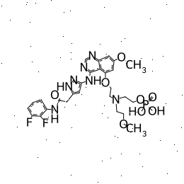 COCCN(CCOc1cc(OC)cc2ncnc(Nc3cc(CC(=O)Nc4cccc(F)c4F)[nH]n3)c12)CCOP(=O)(O)O